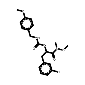 COc1ccc(CNC(=O)OC(Cc2cccc(Cl)c2)C(=O)N(C)OC)cc1